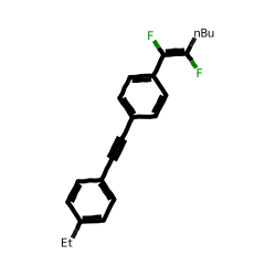 CCCCC(F)=C(F)c1ccc(C#Cc2ccc(CC)cc2)cc1